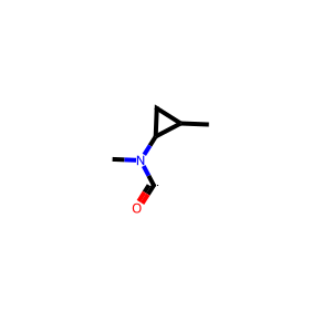 CC1CC1N(C)[C]=O